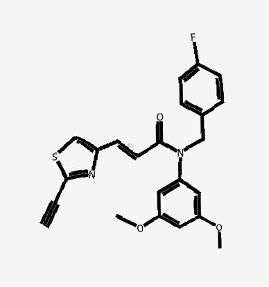 C#Cc1nc(/C=C/C(=O)N(Cc2ccc(F)cc2)c2cc(OC)cc(OC)c2)cs1